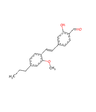 CCCc1ccc(/C=C/c2ccc(C=O)c(O)c2)c(OC)c1